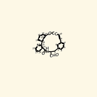 O=C[C@@H]1Cc2cccc(c2)/C=C/CCOc2cccc(c2)-c2ncccc2C(=O)N1